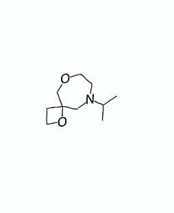 CC(C)N1CCOCC2(CCO2)C1